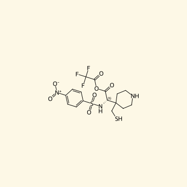 O=C(OC(=O)C(F)(F)F)[C@@H](NS(=O)(=O)c1ccc([N+](=O)[O-])cc1)C1(CS)CCNCC1